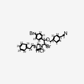 Cl.N#Cc1ccc(COC(c2ccc(Br)cc2)C(Br)N2C=CN(CCc3ccccc3)C2)cc1